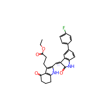 CCOC(=O)CCc1c(/C=C2\C(=O)Nc3ccc(-c4ccc(F)cc4)cc32)[nH]c2c1C(=O)CCC2